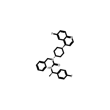 C[C@@H](NC(=O)N(Cc1ccccc1)[C@H]1CC[C@H](c2ccnc3ccc(F)cc32)CC1)c1ccc(F)cc1